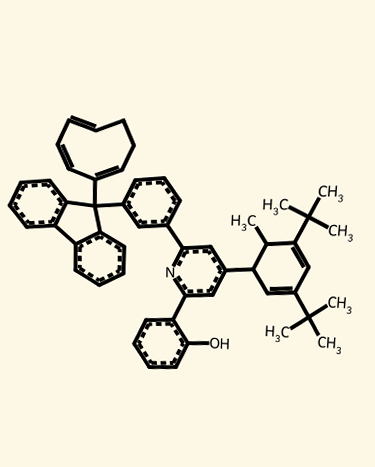 CC1C(C(C)(C)C)=CC(C(C)(C)C)=CC1c1cc(-c2cccc(C3(C4=C/CC/C=C/C=C\4)c4ccccc4-c4ccccc43)c2)nc(-c2ccccc2O)c1